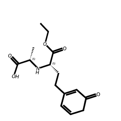 CCOC(=O)[C@H](CCC1=CC(=O)CC=C1)N[C@@H](C)C(=O)O